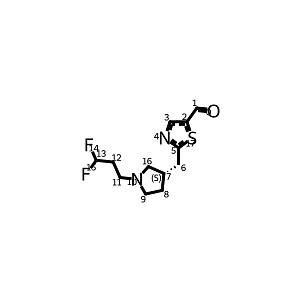 O=Cc1cnc(C[C@@H]2CCN(CCC(F)F)C2)s1